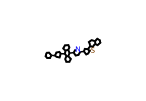 c1ccc(-c2ccc(-c3c4ccccc4c(-c4ccc(-c5ccc6sc7c8ccccc8ccc7c6c5)nc4)c4ccccc34)cc2)cc1